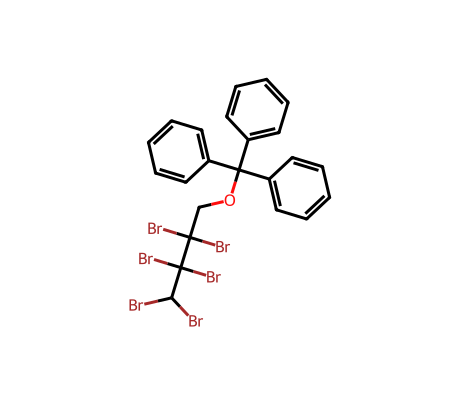 BrC(Br)C(Br)(Br)C(Br)(Br)COC(c1ccccc1)(c1ccccc1)c1ccccc1